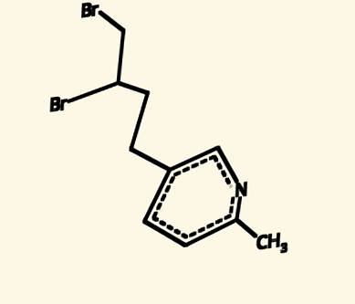 Cc1ccc(CCC(Br)CBr)cn1